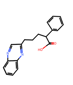 O=C(O)C(CCCc1cnc2ccccc2n1)c1ccccc1